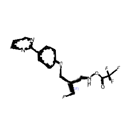 O=C(ONC/C(=C/F)COc1ccc(-c2ncccn2)cc1)C(F)(F)F